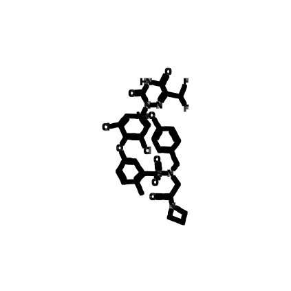 COc1ccc(CN(CC(=O)N2CCC2)S(=O)(=O)c2cc(Oc3c(Cl)cc(-n4nc(C(F)F)c(=O)[nH]c4=O)cc3Cl)ccc2C)cc1